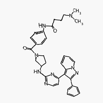 CN(C)CCCC(=O)Nc1ccc(C(=O)N2CCC(Nc3nccc(-c4c(-c5ccccc5)nn5ccccc45)n3)C2)cc1